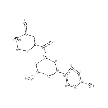 O=C1CN(C(=O)N2CC(C(=O)O)CC(c3ccc(C(F)(F)F)cc3)C2)CCN1